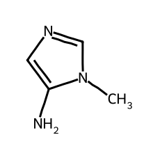 Cn1cncc1N